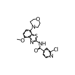 COc1ccc(N2CCOCC2)c2sc(NC(=O)c3ccnc(Cl)c3)nc12